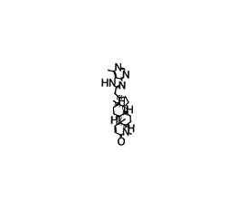 Cc1ncnc2nc(C[C@H]3CC[C@H]4[C@@H]5CC[C@H]6N(C)C(=O)C=C[C@]6(C)[C@H]5CC[C@]34C)[nH]c12